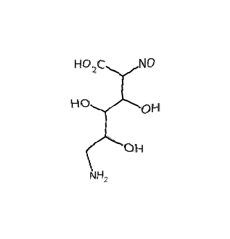 NCC(O)C(O)C(O)C(N=O)C(=O)O